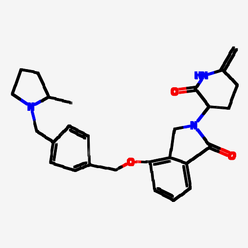 C=C1CCC(N2Cc3c(OCc4ccc(CN5CCCC5C)cc4)cccc3C2=O)C(=O)N1